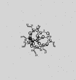 C=C[Si]12COC[Si]3(C=C)O[Si]4(C=C)O[Si](C=C)(COC1)O[Si]1(C=C)O[Si](C=C)(O2)O[Si](C=C)(O3)O[Si](C=C)(O4)O1